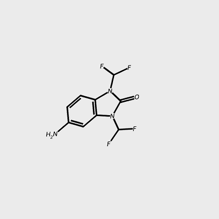 Nc1ccc2c(c1)n(C(F)F)c(=O)n2C(F)F